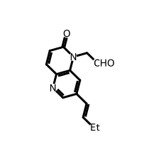 CC/C=C/c1cnc2ccc(=O)n(CC=O)c2c1